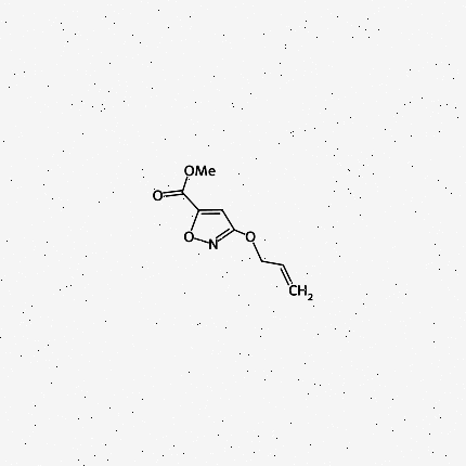 C=CCOc1cc(C(=O)OC)on1